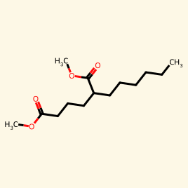 CCCCCCC(CCCC(=O)OC)C(=O)OC